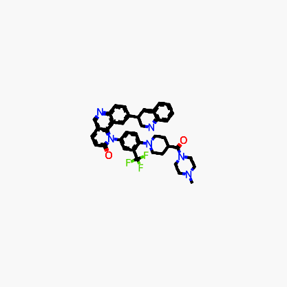 CN1CCN(C(=O)C2CCN(c3ccc(-n4c(=O)ccc5cnc6ccc(C7C=c8ccccc8=NC7)cc6c54)cc3C(F)(F)F)CC2)CC1